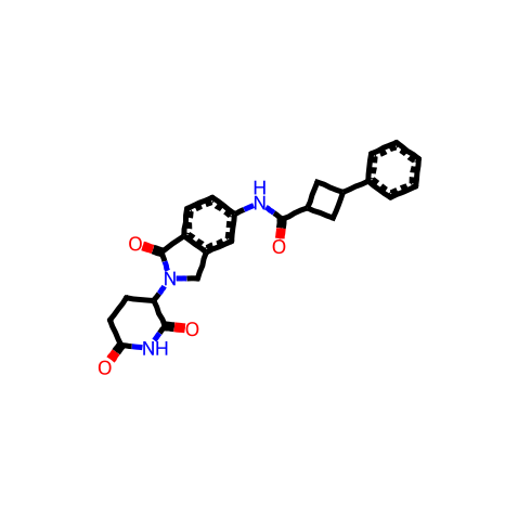 O=C1CCC(N2Cc3cc(NC(=O)C4CC(c5ccccc5)C4)ccc3C2=O)C(=O)N1